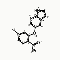 CC(C)C(=O)c1ccc(C(C)C)cc1Oc1cnc2[nH]ccc2c1